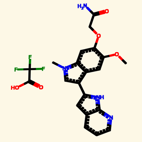 COc1cc2c(-c3cc4cccnc4[nH]3)cn(C)c2cc1OCC(N)=O.O=C(O)C(F)(F)F